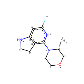 C[C@@H]1COCCN1c1nc(F)cc2c1CCN2